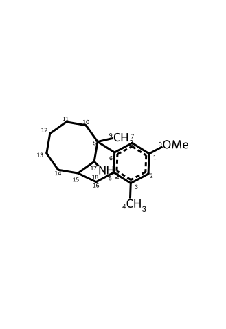 COc1cc(C)c2c(c1)C1(C)CCCCCC(C2)C1N